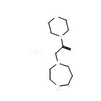 Cl.Cl.O=C(CN1CCCNCC1)N1CCOCC1